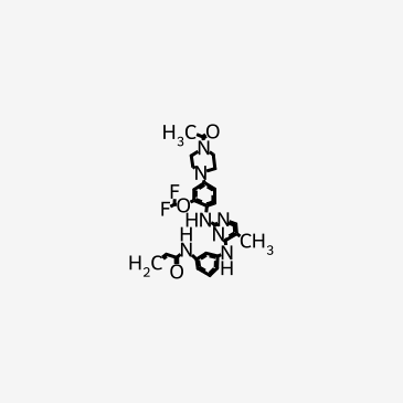 C=CC(=O)Nc1cccc(Nc2nc(Nc3ccc(N4CCN(C(C)=O)CC4)cc3OC(F)F)ncc2C)c1